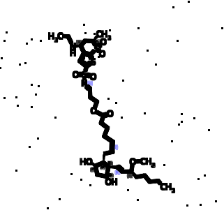 CCCCC[C@@H](/C=C/[C@@H]1[C@@H](C/C=C\CCCC(=O)OCC/C=N/S(=O)(=O)c2cc3c(s2)S(=O)(=O)[C@@H](C)C[C@@H]3NCC)[C@@H](O)C[C@H]1O)OC